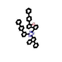 c1ccc(-c2ccc(-c3cccc(-c4nc(-c5ccc(-c6ccccc6)c6ccccc56)nc(-c5cccc6oc7c(-c8ccc(-c9ccccc9)cc8)cccc7c56)n4)c3)cc2)cc1